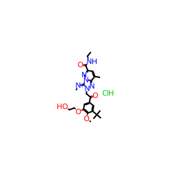 CCNC(=O)c1cc(C)c2nn(CC(=O)c3cc(OCCO)c(OC)c(C(C)(C)C)c3)/c(=N\C)n2n1.Cl